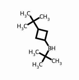 CC(C)(C)BC1CC(C(C)(C)C)C1